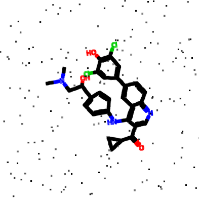 CN(C)CC(O)c1ccc(Nc2c(C(=O)C3CC3)cnc3ccc(-c4cc(Cl)c(O)c(Cl)c4)cc23)cc1